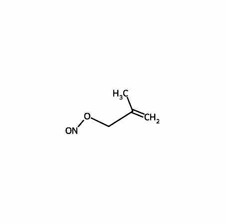 C=C(C)CON=O